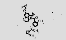 Cc1ccc(OC([SiH3])[C@@H]2CCN2C)cc1C(=O)NC1(c2cc(OCC(F)(F)F)cc3ncccc23)CC1